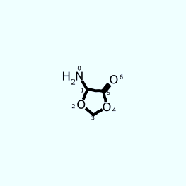 NC1OCOC1=O